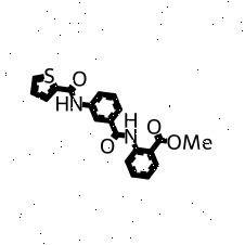 COC(=O)c1ccccc1NC(=O)c1cccc(NC(=O)c2cccs2)c1